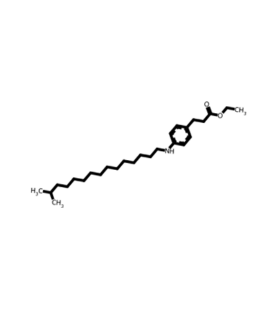 CCOC(=O)CCc1ccc(NCCCCCCCCCCCCCC(C)C)cc1